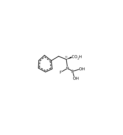 O=C(O)[C@H](Cc1ccccc1)N(F)B(O)O